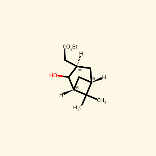 CCOC(=O)C[C@H]1C[C@H]2C[C@@H](C1O)C2(C)C